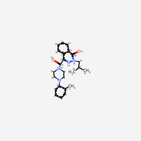 Cc1ccccc1N1CCN(C(=O)c2nn(CC(C)C)c(=O)c3ccccc23)CC1